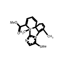 COC(=O)C1=CC=CC23CC=CC(C)=C2n2c(SC)cnc2[N+]13C